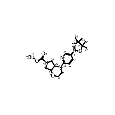 CC(C)(C)OC(=O)N1CC2OCCN(c3ccc(B4OC(C)(C)C(C)(C)O4)cn3)C2C1